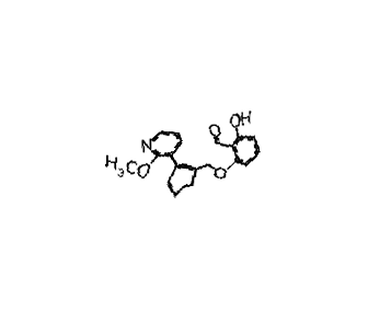 COc1ncccc1C1=C(COc2cccc(O)c2C=O)CCC1